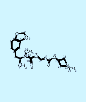 CC(Cc1ccc2c(c1)OCO2)N(C)C(=O)OCOC(=O)OC1CN(C)C1